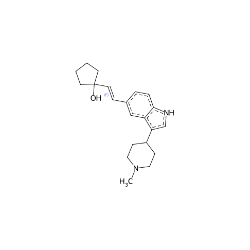 CN1CCC(c2c[nH]c3ccc(/C=C/C4(O)CCCC4)cc23)CC1